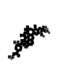 COC(=O)N1CCC(C)(c2nc(-c3cc4c(cc3F)S(=O)(=O)C[C@H](NC(=O)OC(C)(C)C)C(=O)N4Cc3ccc(Cl)cc3)no2)CC1